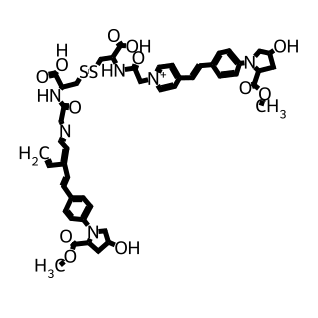 C=CC(/C=C/c1ccc(N2CC(O)CC2C(=O)OC)cc1)=C\C=N\CC(=O)NC(CSSCC(NC(=O)C[n+]1ccc(/C=C/c2ccc(N3CC(O)CC3C(=O)OC)cc2)cc1)C(=O)O)C(=O)O